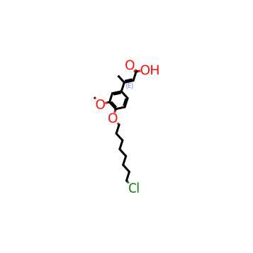 COc1cc(/C(C)=C/C(=O)O)ccc1OCCCCCCCCCl